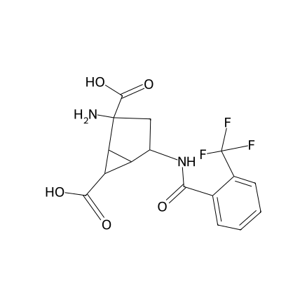 NC1(C(=O)O)CC(NC(=O)c2ccccc2C(F)(F)F)C2C(C(=O)O)C21